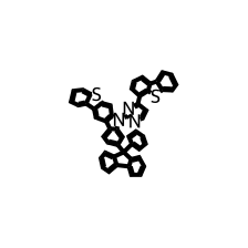 c1ccc(C2(c3ccc4c5cc6c(cc5n(-c5nccc(-c7cccc8c7sc7ccccc78)n5)c4c3)sc3ccccc36)c3ccccc3-c3ccccc32)cc1